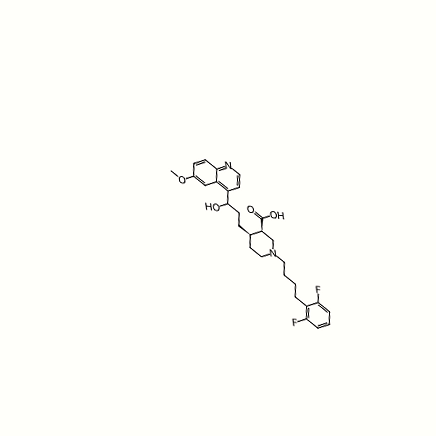 COc1ccc2nccc(C(O)CC[C@@H]3CCN(CCCCc4c(F)cccc4F)C[C@@H]3C(=O)O)c2c1